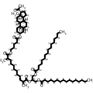 CCCCCCCCCCCCCCCC(=O)OCC(COC(=O)CCCCCCCCCCCCCCC)OC(=O)C(C)CCCCCCCCC(C)C(=O)OCCCCC(=O)O[C@@H]1CC[C@@]2(C)[C@@H](CC[C@@H]3[C@@H]2CC[C@]2(C)[C@@H](C(C)=O)CC[C@@H]32)C1